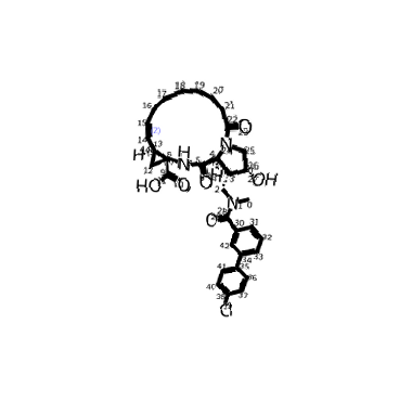 CN(C[C@@H]1[C@H]2C(=O)N[C@]3(C(=O)O)C[C@H]3/C=C\CCCCCCC(=O)N2C[C@@H]1O)C(=O)c1cccc(-c2ccc(Cl)cc2)c1